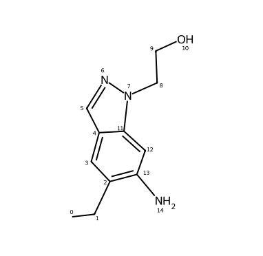 CCc1cc2cnn(CCO)c2cc1N